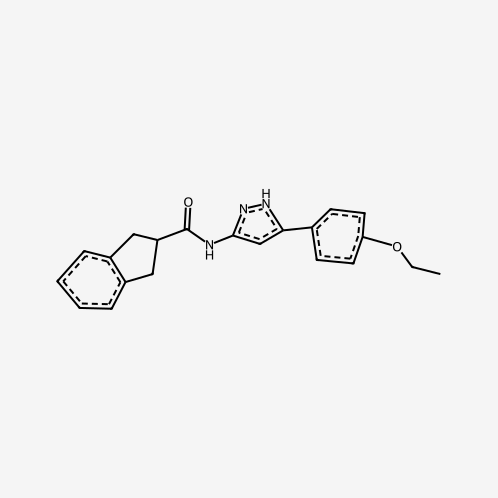 CCOc1ccc(-c2cc(NC(=O)C3Cc4ccccc4C3)n[nH]2)cc1